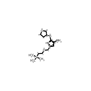 C[Si](C)(C)CCOCn1cc(N)c(O[C@H]2CCOC2)n1